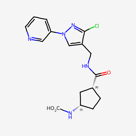 O=C(O)N[C@H]1CC[C@@H](C(=O)NCc2cn(-c3cccnc3)nc2Cl)C1